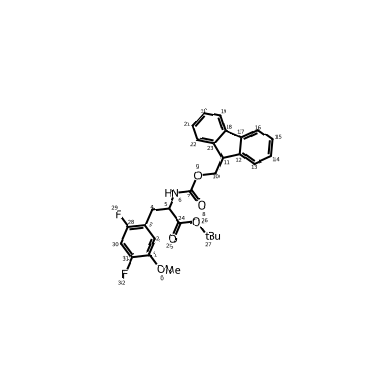 COc1cc(CC(NC(=O)OCC2c3ccccc3-c3ccccc32)C(=O)OC(C)(C)C)c(F)cc1F